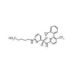 O=C(O)CCCCNc1cccc(S(=O)(=O)Nc2ccc(C(F)(F)F)c(-c3ccccc3C3CC3)n2)n1